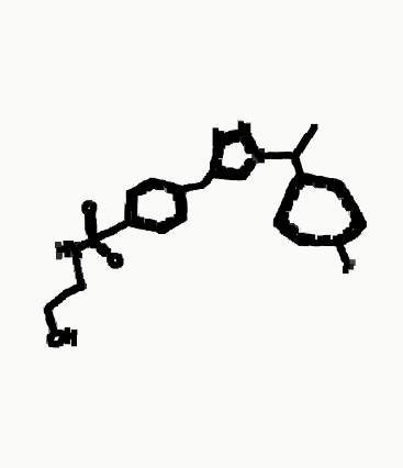 CC(c1ccc(F)cc1)n1cc(-c2ccc(S(=O)(=O)NCCO)cc2)nn1